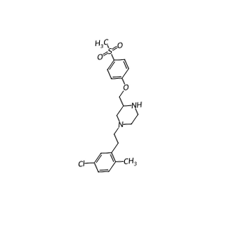 Cc1ccc(Cl)cc1CCN1CCNC(COc2ccc(S(C)(=O)=O)cc2)C1